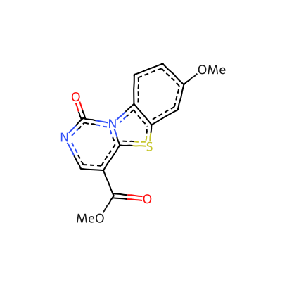 COC(=O)c1cnc(=O)n2c1sc1cc(OC)ccc12